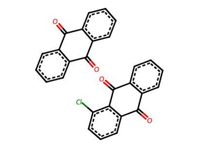 O=C1c2ccccc2C(=O)c2c(Cl)cccc21.O=C1c2ccccc2C(=O)c2ccccc21